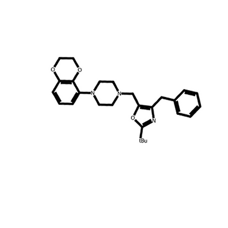 CC(C)(C)c1nc(Cc2ccccc2)c(CN2CCN(c3cccc4c3OCCO4)CC2)o1